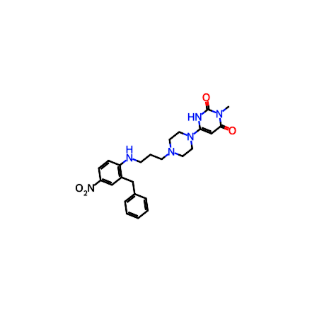 Cn1c(=O)cc(N2CCN(CCCNc3ccc([N+](=O)[O-])cc3Cc3ccccc3)CC2)[nH]c1=O